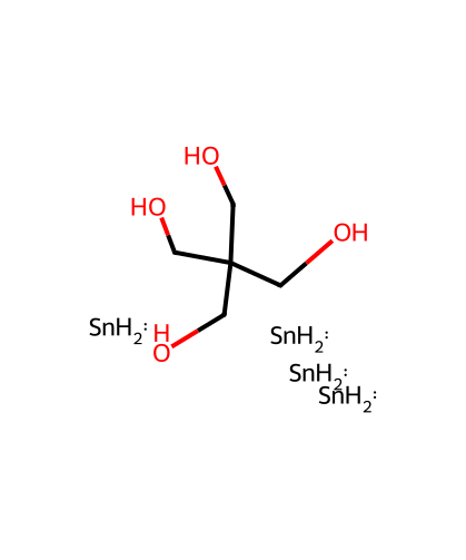 OCC(CO)(CO)CO.[SnH2].[SnH2].[SnH2].[SnH2]